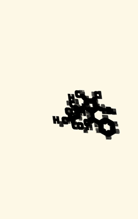 CCCCc1c(Cl)c(Cl)n(C(C)CC(C)(C(=O)O)C(=O)O)c1C(=O)c1ccccc1